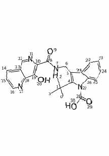 CC(C)(C)c1c(CNC(=O)c2ncc3cccnc3c2O)c2ccccc2n1C(=O)O